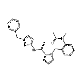 CC(=O)N(C)c1cnccc1Cn1cccc1C(=O)Nc1nc(Cc2ccccc2)cs1